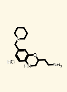 Cl.NCCC1CNc2ccc(CN3CCCCC3)cc2O1